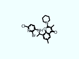 Cc1cc(C(C)Nc2ccc(Cl)nc2Br)c2oc(N3CCCCC3)c(C)c(=O)c2c1